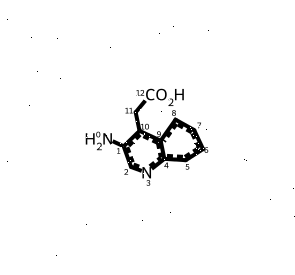 Nc1cnc2ccccc2c1CC(=O)O